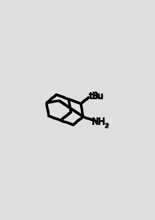 CC(C)(C)C1C2CC3CC(C2)CC1(N)C3